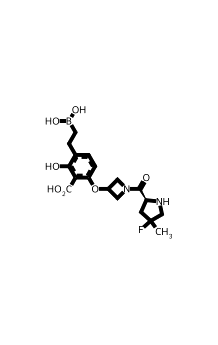 CC1(F)CN[C@H](C(=O)N2CC(Oc3ccc(CCB(O)O)c(O)c3C(=O)O)C2)C1